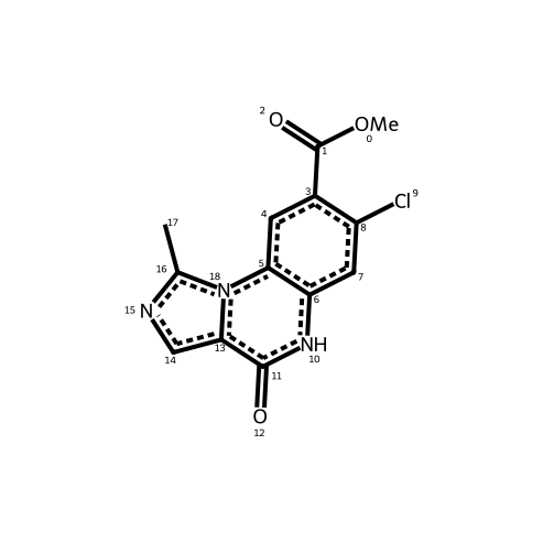 COC(=O)c1cc2c(cc1Cl)[nH]c(=O)c1cnc(C)n12